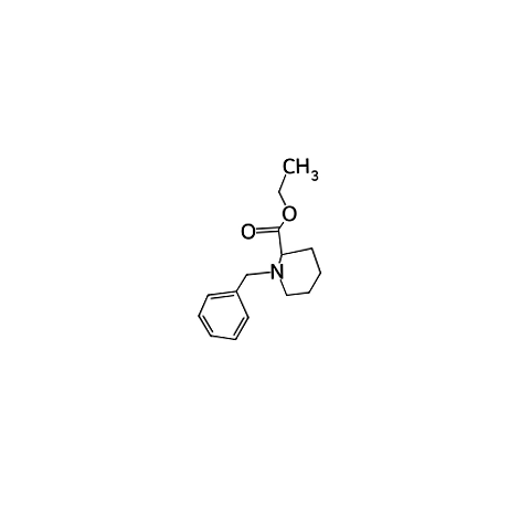 CCOC(=O)C1CCCCN1Cc1ccccc1